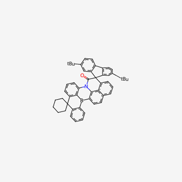 CC(C)(C)c1ccc2c(c1)C1(C(=O)N3c4cccc5c4B(c4ccccc4C54CCCCC4)c4ccc5cccc1c5c43)c1cc(C(C)(C)C)ccc1-2